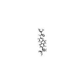 C=C(C)Nc1ccc2c(ccc3cc(CC(=O)C(=C)C)ccc32)c1